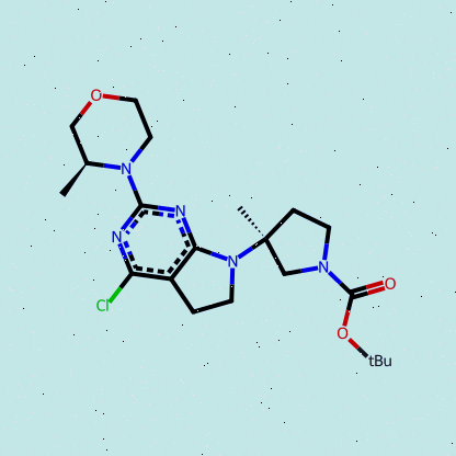 C[C@H]1COCCN1c1nc(Cl)c2c(n1)N([C@@]1(C)CCN(C(=O)OC(C)(C)C)C1)CC2